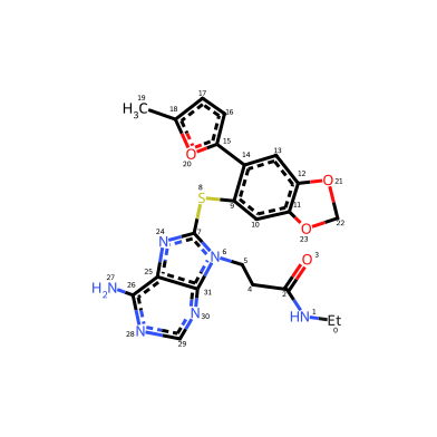 CCNC(=O)CCn1c(Sc2cc3c(cc2-c2ccc(C)o2)OCO3)nc2c(N)ncnc21